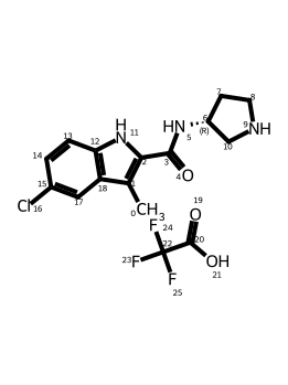 Cc1c(C(=O)N[C@@H]2CCNC2)[nH]c2ccc(Cl)cc12.O=C(O)C(F)(F)F